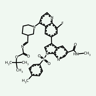 CNC(=O)c1cnc2c(c1)c(-c1cc(F)c3nccc(N4CCCC(/C=N/C(=O)OC(C)(C)C)C4)c3c1)cn2S(=O)(=O)c1ccc(C)cc1